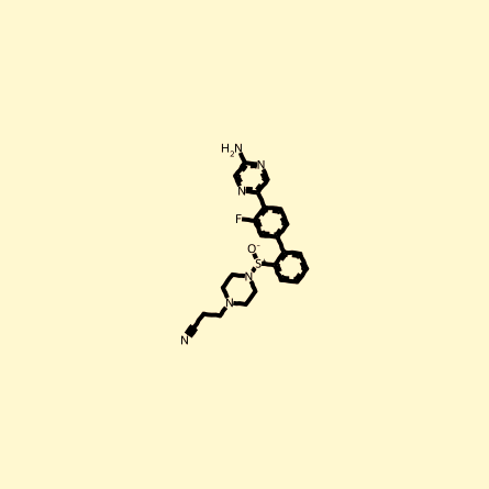 N#CCCN1CCN([S+]([O-])c2ccccc2-c2ccc(-c3cnc(N)cn3)c(F)c2)CC1